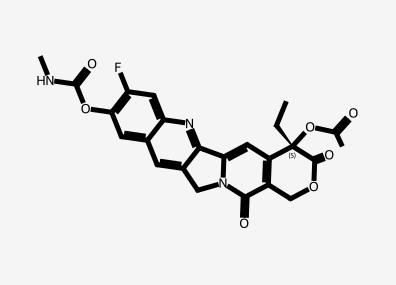 CC[C@@]1(OC(C)=O)C(=O)OCc2c1cc1n(c2=O)Cc2cc3cc(OC(=O)NC)c(F)cc3nc2-1